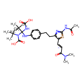 CC(=O)Nc1nc(CCc2ccc(NC(NC(=O)O)(N(C(=O)O)C(C)(C)C)C(C)(C)C)cc2)c(/C=C/C(=O)N(C)C)s1